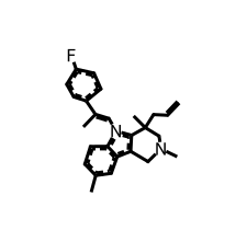 C=CCC1(C)CN(C)Cc2c1n(/C=C(\C)c1ccc(F)cc1)c1ccc(C)cc21